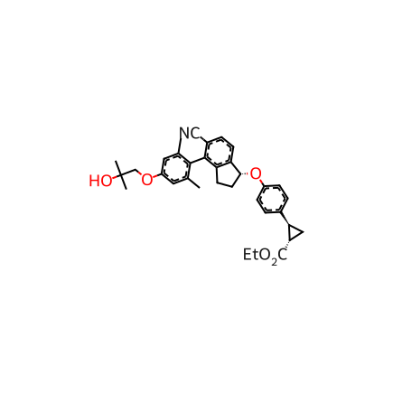 CCOC(=O)[C@H]1C[C@@H]1c1ccc(O[C@@H]2CCc3c2ccc(C#N)c3-c2c(C)cc(OCC(C)(C)O)cc2C)cc1